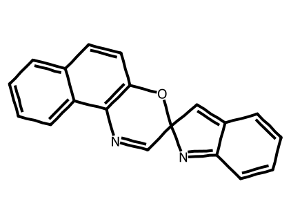 C1=Nc2c(ccc3ccccc23)OC12C=c1ccccc1=N2